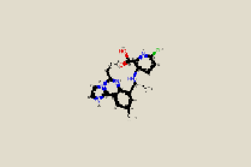 CCc1nc2c([C@@H](C)Nc3ccc(Cl)nc3C(=O)O)cc(C)cc2c2nccn12